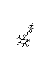 CC(C)c1c(OCCO[Si](C)(C)C(C)(C)C)[nH]c(=O)n(C)c1=O